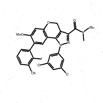 COc1cc2c(cc1-c1cccc(C#N)c1F)-c1c(c(C(=O)N(C)C(C)(C)C)nn1-c1cc(Cl)cc(Cl)c1)CO2